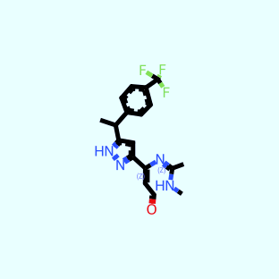 CN/C(C)=N\C(=C/C=O)c1cc(C(C)c2ccc(C(F)(F)F)cc2)[nH]n1